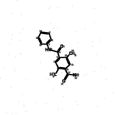 Cc1cc(C(=O)Nc2ccccc2)c(C)cc1C([NH])=O